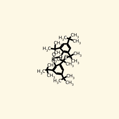 CC(C)(C)c1cc(C(C)(C)C)c(OP(Cl)Oc2c(C(C)(C)C)cc(C(C)(C)C)cc2C(C)(C)C)c(C(C)(C)C)c1